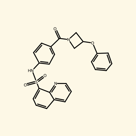 O=C(c1ccc(NS(=O)(=O)c2cccc3cccnc23)cc1)N1CC(Oc2ccccc2)C1